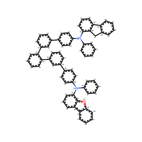 c1ccc(N(c2ccc(-c3cccc(-c4ccccc4-c4cccc(-c5ccc(N(c6ccccc6)c6cccc7c6oc6ccccc67)cc5)c4)c3)cc2)c2cccc3c2Cc2ccccc2-3)cc1